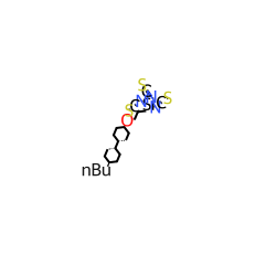 CCCC[C@H]1CC[C@H]([C@H]2CC[C@H](OCCC[Si](N=C=S)(N=C=S)N=C=S)CC2)CC1